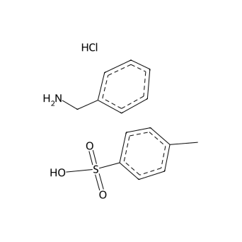 Cc1ccc(S(=O)(=O)O)cc1.Cl.NCc1ccccc1